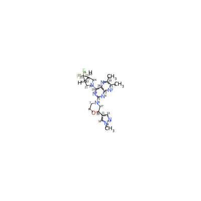 Cc1nc2nc(N3CCO[C@H](c4cnn(C)c4)C3)nc(N3C[C@@H]4[C@H](C3)C4(F)F)c2nc1C